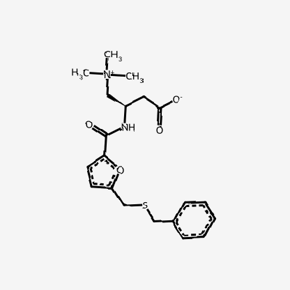 C[N+](C)(C)C[C@@H](CC(=O)[O-])NC(=O)c1ccc(CSCc2ccccc2)o1